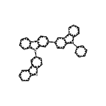 c1ccc(-n2c3ccccc3c3cc(-c4ccc5c6ccccc6n(-c6ccc7sc8ccccc8c7c6)c5c4)ccc32)cc1